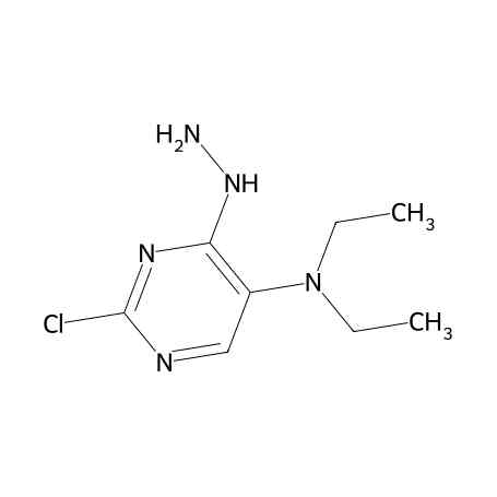 CCN(CC)c1cnc(Cl)nc1NN